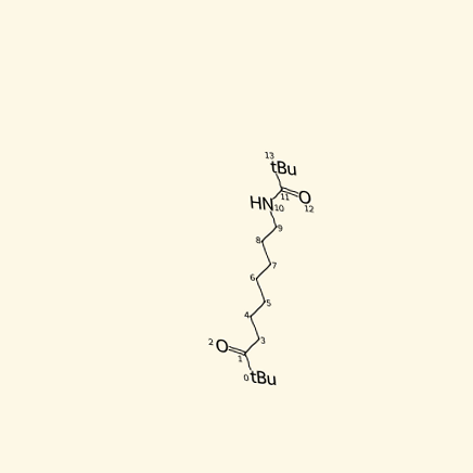 CC(C)(C)C(=O)CCCCCCCNC(=O)C(C)(C)C